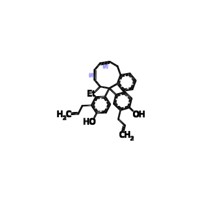 C=CCc1cc(C2(c3ccc(O)c(CC=C)c3)c3ccccc3C/C=C\C=C/C2CC)ccc1O